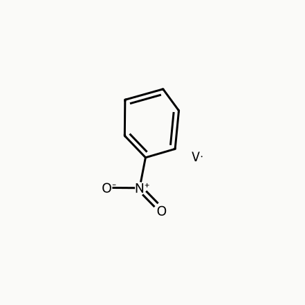 O=[N+]([O-])c1ccccc1.[V]